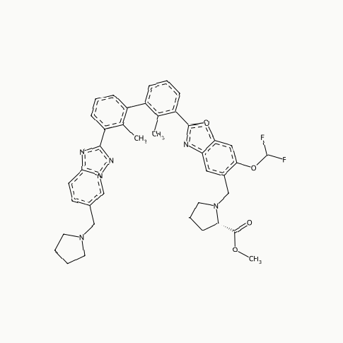 COC(=O)[C@@H]1CCCN1Cc1cc2nc(-c3cccc(-c4cccc(-c5nc6ccc(CN7CCCC7)cn6n5)c4C)c3C)oc2cc1OC(F)F